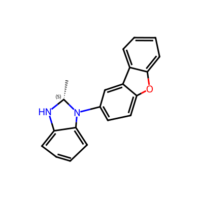 C[C@H]1Nc2ccccc2N1c1ccc2oc3ccccc3c2c1